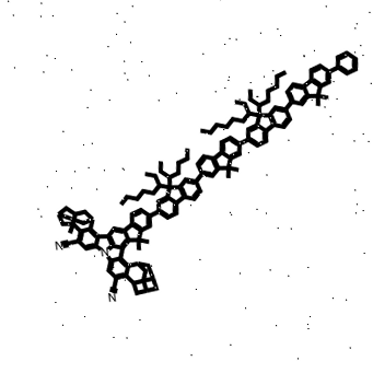 CCCCCCC(CC)C1(C(CC)CCCCC)c2cc(-c3ccc4c(c3)C(C)(C)c3cc(-c5ccccc5)ccc3-4)ccc2-c2ccc(-c3ccc4c(c3)C(C)(C)c3cc(-c5ccc6c(c5)C(C(CC)CCCC)(C(CC)CCCCC)c5cc(-c7ccc8c(c7)C(C)(C)c7c-8cc8c9c%10c(c(C#N)cc9n9c%11cc(C#N)c%12c(c%11c7c89)C7CC8CC9CC%12C89C7)C7(C)CC8CC%10CC7C8)ccc5-6)ccc3-4)cc21